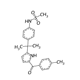 Cc1ccc(C(=O)c2ccc(C(C)(C)c3ccc(NS(C)(=O)=O)cc3)[nH]2)cc1